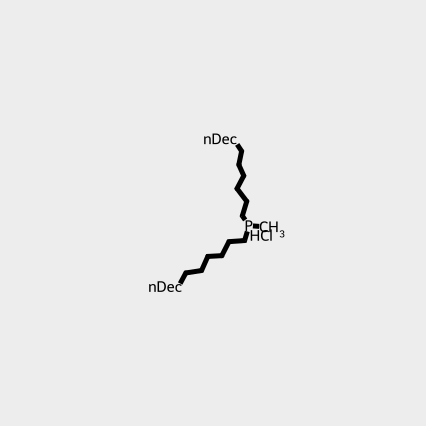 CCCCCCCCCCCCCCCCP(C)CCCCCCCCCCCCCCCC.Cl